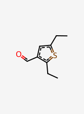 CCc1cc(C=O)c(CC)s1